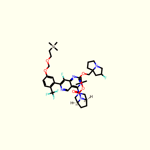 CC(C)(C)OC(=O)N1[C@@H]2CC[C@H]1CN(c1nc(OCC34CCCN3CC(F)C4)nc3c(F)c(-c4cc(OCOCC[Si](C)(C)C)ccc4C(F)(F)F)ncc13)C2